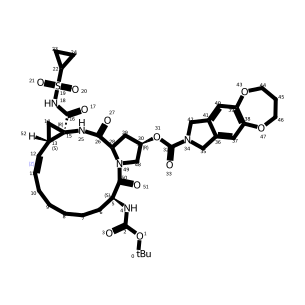 CC(C)(C)OC(=O)N[C@H]1CCCCC/C=C\[C@@H]2C[C@@]2(C(=O)NS(=O)(=O)C2CC2)NC(=O)C2C[C@@H](OC(=O)N3Cc4cc5c(cc4C3)OCCCO5)CN2C1=O